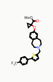 COC(=O)C1(Oc2ccc3c(c2)CCN(Cc2ccc(-c4ccc(C(F)(F)F)cc4)s2)CC3)CC1